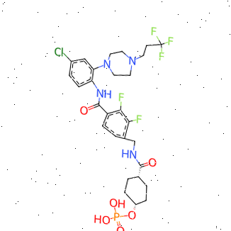 O=C(Nc1ccc(Cl)cc1N1CCN(CCC(F)(F)F)CC1)c1ccc(CNC(=O)[C@H]2CC[C@@H](OP(=O)(O)O)CC2)c(F)c1F